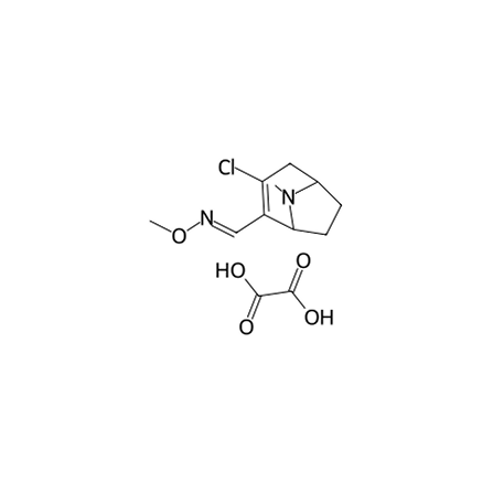 CON=CC1=C(Cl)CC2CCC1N2C.O=C(O)C(=O)O